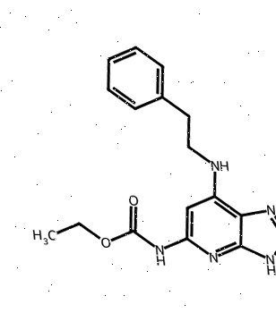 CCOC(=O)Nc1cc(NCCc2ccccc2)c2nc[nH]c2n1